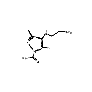 Cc1nn(C(N)=O)c(C)c1NCCN